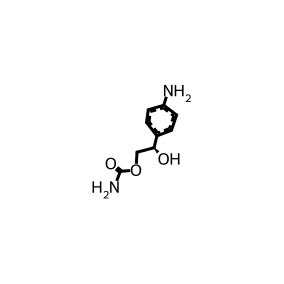 NC(=O)OC[C@H](O)c1ccc(N)cc1